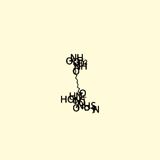 Cc1ncsc1-c1ccc(CNC(=O)[C@@H]2C[C@@H](O)CN2C(=O)[C@@H](NC(=O)CCCCCCCCCOC[C@H](CCC(N)=O)NC(=O)OC(C)(C)C)C(C)(C)C)cc1